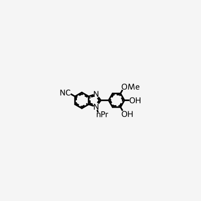 CCCn1c(-c2cc(O)c(O)c(OC)c2)nc2cc(C#N)ccc21